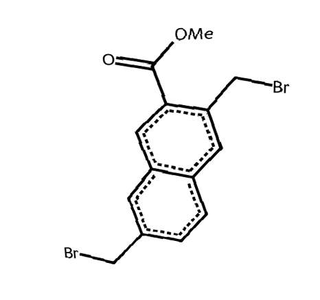 COC(=O)c1cc2cc(CBr)ccc2cc1CBr